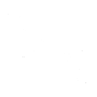 CCOC(=O)COc1ccc(-c2ccc(OCCN(C)C)c(C(C)CC)c2)cc1C(C)CC